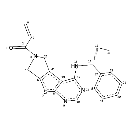 C=CC(=O)N1Cc2sc3ncnc(N[C@H](CC)c4ccccc4)c3c2C1